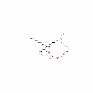 CCCCCCCC(=O)O[C@H]1/C(=C/C(=O)OC)C[C@H]2C[C@H](CO)OC(=O)C[C@H](O)C[C@@H]3CCCC(CC4C[C@H](CC=O)O[C@H](/C=C/C(C)(C)[C@]1(O)O2)O4)O3